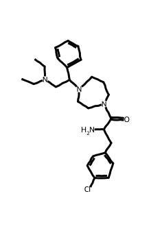 CCN(CC)CC(c1ccccc1)N1CCCN(C(=O)C(N)Cc2ccc(Cl)cc2)CC1